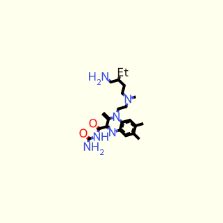 C=C1C(C(=O)NC(N)=O)=Nc2cc(C)c(C)cc2N1CCN(C)CCC(CC)CN